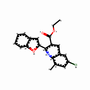 CCOC(=O)c1cc2cc(Cl)cc(C)c2nc1-c1cc2ccccc2o1